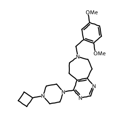 COc1ccc(OC)c(CN2CCc3ncnc(N4CCN(C5CCC5)CC4)c3CC2)c1